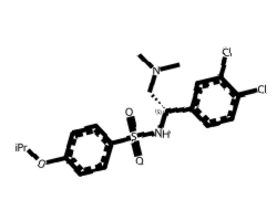 CC(C)Oc1ccc(S(=O)(=O)N[C@H](CN(C)C)c2ccc(Cl)c(Cl)c2)cc1